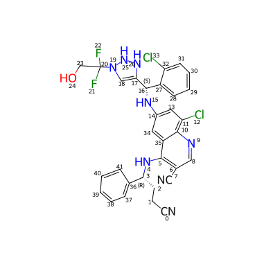 N#CCC[C@@H](Nc1c(C#N)cnc2c(Cl)cc(N[C@H](C3=CN(C(F)(F)CO)NN3)c3ccccc3Cl)cc12)c1ccccc1